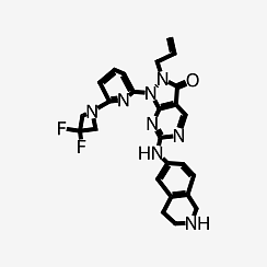 C=CCn1c(=O)c2cnc(Nc3ccc4c(c3)CCNC4)nc2n1-c1cccc(N2CC(F)(F)C2)n1